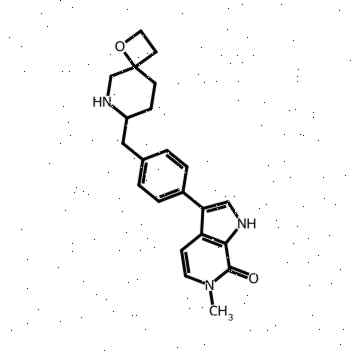 Cn1ccc2c(-c3ccc(CC4CCC5(CCO5)CN4)cc3)c[nH]c2c1=O